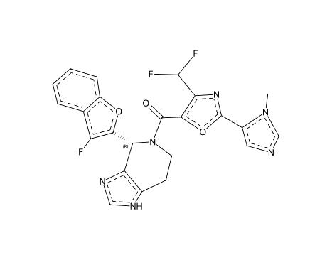 Cn1cncc1-c1nc(C(F)F)c(C(=O)N2CCc3[nH]cnc3[C@@H]2c2oc3ccccc3c2F)o1